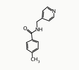 Cc1ccc(C(=O)NCc2ccncc2)cc1